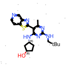 Cc1nc(NCC(C)(C)C)nc(N[C@@H]2CC[C@@H](O)C2)c1-c1nc2cnccc2s1